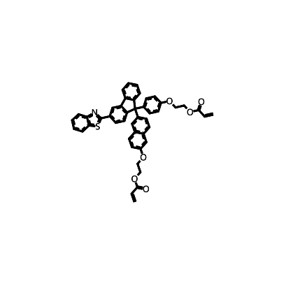 C=CC(=O)OCCOc1ccc(C2(c3ccc4cc(OCCOC(=O)C=C)ccc4c3)c3ccccc3-c3cc(-c4nc5ccccc5s4)ccc32)cc1